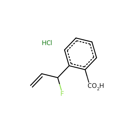 C=CC(F)c1ccccc1C(=O)O.Cl